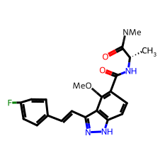 CNC(=O)[C@H](C)NC(=O)c1ccc2[nH]nc(/C=C/c3ccc(F)cc3)c2c1OC